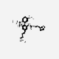 C=C(C)[C@@H]1CCC(C)=C[C@H]1c1c(O)cc(CCCCC)cc1OC(=S)SCCC1CCO1